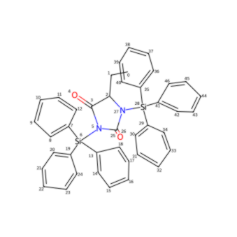 CCC1C(=O)N([Si](c2ccccc2)(c2ccccc2)c2ccccc2)C(=O)N1[Si](c1ccccc1)(c1ccccc1)c1ccccc1